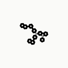 c1ccc(-n2c3ccccc3c3ccc(N(c4ccc(-c5cccc(-c6ccc7ccccc7c6)c5)cc4)c4ccc(-c5cccc6ccccc56)cc4)cc32)cc1